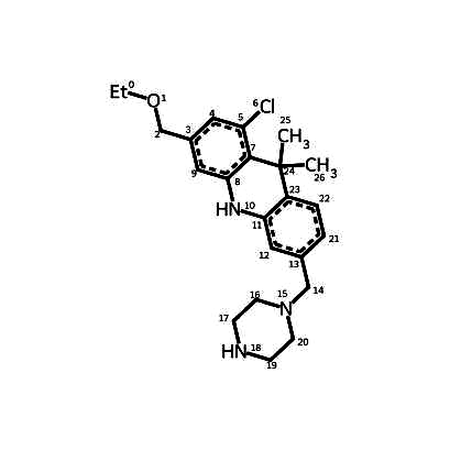 CCOCc1cc(Cl)c2c(c1)Nc1cc(CN3CCNCC3)ccc1C2(C)C